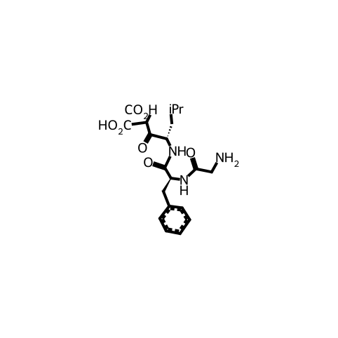 CC(C)C[C@H](NC(=O)[C@H](Cc1ccccc1)NC(=O)CN)C(=O)C(C(=O)O)C(=O)O